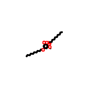 CCCCCCCCCCOC1=CC(OC)C(O)(OCCCCCCCCCC)C(OC)=C1